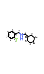 Fc1ccccc1CNCC1CCCCC1